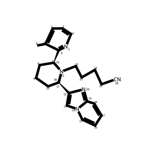 Cc1cccnc1[C@@H]1CCC[C@H](c2cn3ccccc3n2)N1CCCCC#N